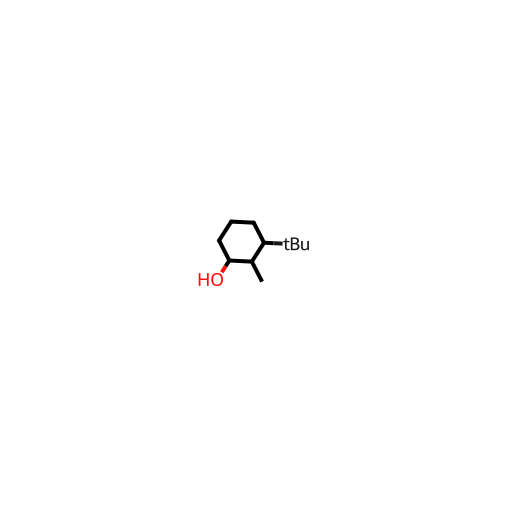 CC1C(O)CCCC1C(C)(C)C